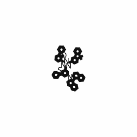 CC1(C)c2ccccc2-c2cc(-c3nc(-c4cccc5c4oc4ccccc45)nc(-c4cc(-n5c6ccc7ccccc7c6c6c7ccccc7ccc65)cc5c4sc4ccccc45)n3)ccc21